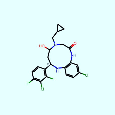 O=C1CN(CC2CC2)C(O)C[C@H](c2ccc(F)c(Cl)c2F)Nc2ccc(Cl)cc2N1